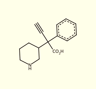 C#CC(C(=O)O)(c1ccccc1)C1CCCNC1